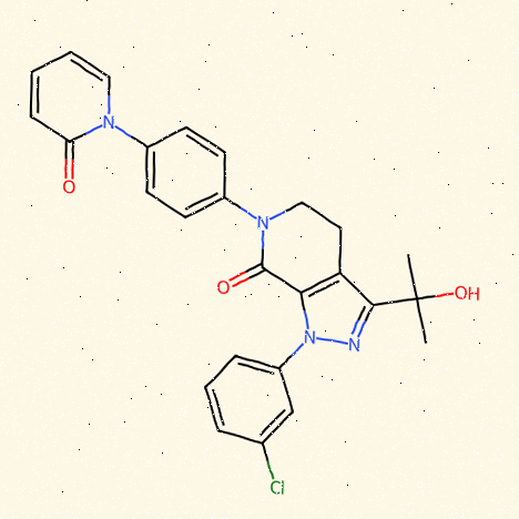 CC(C)(O)c1nn(-c2cccc(Cl)c2)c2c1CCN(c1ccc(-n3ccccc3=O)cc1)C2=O